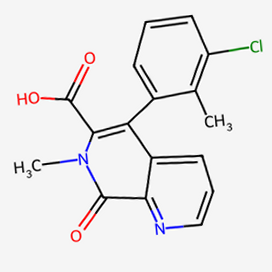 Cc1c(Cl)cccc1-c1c(C(=O)O)n(C)c(=O)c2ncccc12